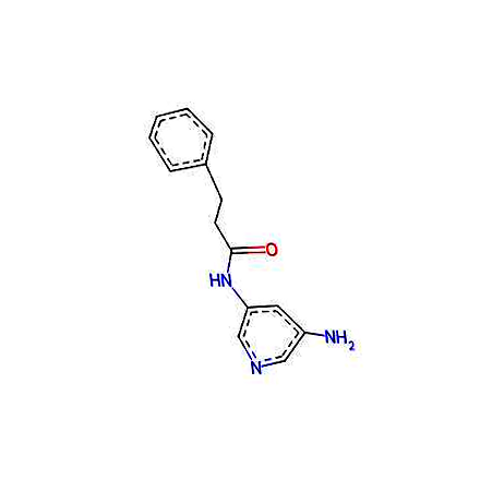 Nc1cncc(NC(=O)CCc2ccccc2)c1